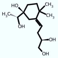 C[C@@H](O)[C@]1(O)CCC(C)(C)/C(=C/C[C@@H](O)CO)C1